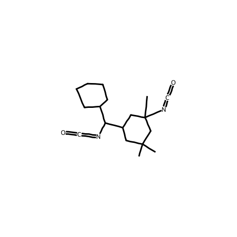 CC1(C)CC(C(N=C=O)C2CCCCC2)CC(C)(N=C=O)C1